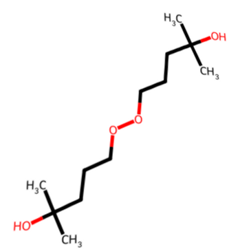 CC(C)(O)CCCOOCCCC(C)(C)O